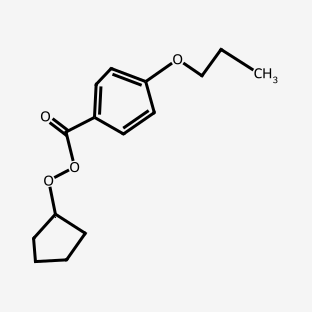 CCCOc1ccc(C(=O)OO[C]2CCCC2)cc1